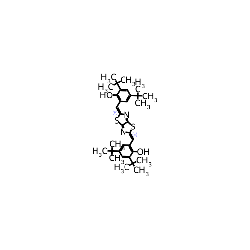 CC(C)(C)c1cc(/C=c2\nc3s/c(=C/c4cc(C(C)(C)C)cc(C(C)(C)C)c4O)nc3s2)c(O)c(C(C)(C)C)c1